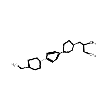 CCC(C)C[C@H]1CC[C@H](c2ccc([C@H]3CC[C@H](CC)CC3)cc2)CC1